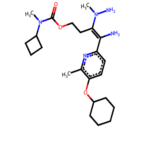 Cc1nc(/C(N)=C(\CCOC(=O)N(C)C2CCC2)N(C)N)ccc1OC1CCCCC1